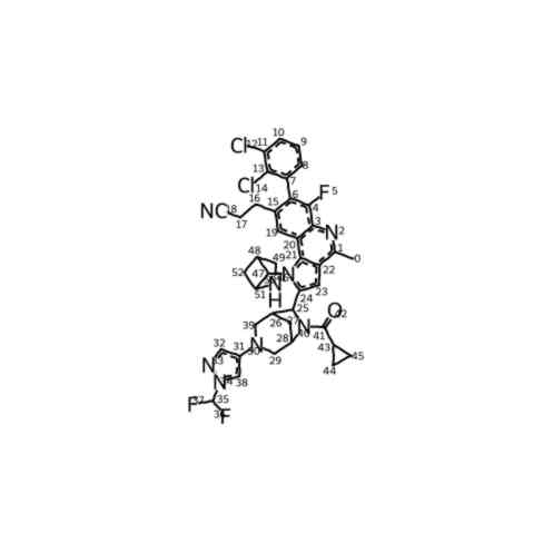 Cc1nc2c(F)c(-c3cccc(Cl)c3Cl)c(CCC#N)cc2c2c1cc(C1C3CC(CN(c4cnn(C(F)F)c4)C3)N1C(=O)C1CC1)n2C1C2CNC1C2